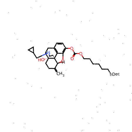 C=C1CC[C@@]2(O)C3Cc4ccc(OC(=O)OCCCCCCCCCCCCCCCC)c5c4[C@@]2(CCN3CC2CC2)[C@H]1O5